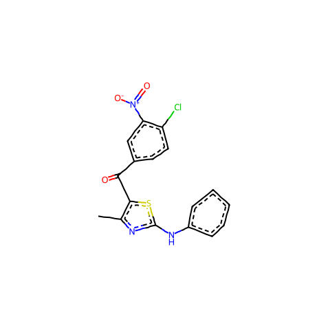 Cc1nc(Nc2ccccc2)sc1C(=O)c1ccc(Cl)c([N+](=O)[O-])c1